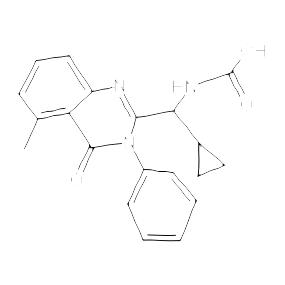 Cc1cccc2nc(C(NC(=O)O)C3CC3)n(-c3ccccc3)c(=O)c12